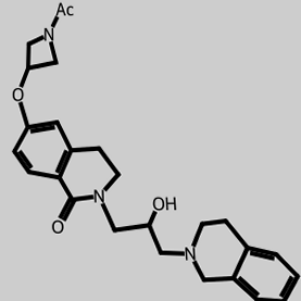 CC(=O)N1CC(Oc2ccc3c(c2)CCN(CC(O)CN2CCc4ccccc4C2)C3=O)C1